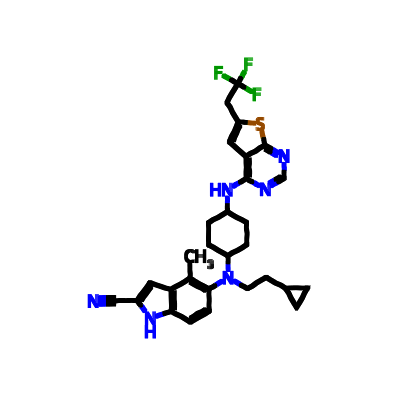 Cc1c(N(CCC2CC2)C2CCC(Nc3ncnc4sc(CC(F)(F)F)cc34)CC2)ccc2[nH]c(C#N)cc12